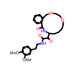 COc1ccc(CCNC(=O)C(=O)C2CCCCOCCOCc3ccccc3C(=O)N2)cc1OC